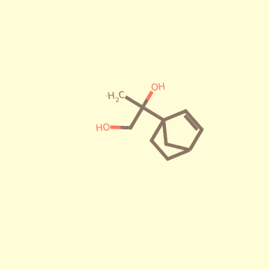 [CH2]C(O)(CO)C12C=CC(CC1)C2